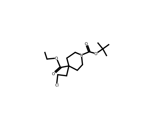 CCOC(=O)C1(CCCl)CCN(C(=O)OC(C)(C)C)CC1